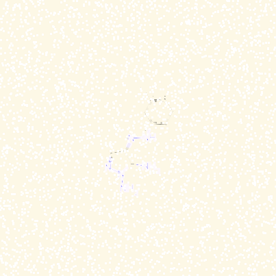 NC1C(=NNc2cccc(C(F)(F)F)c2)C=NN1N